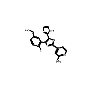 Nc1cc(-c2nc(-c3cc(CO)ccc3Cl)c(-c3ncc[nH]3)s2)ccn1